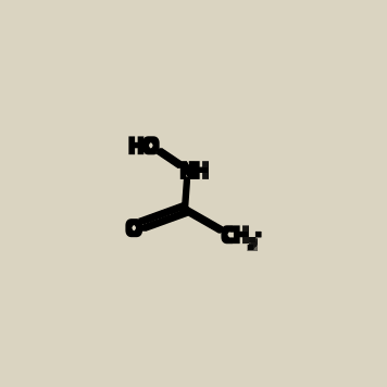 [CH2]C(=O)NO